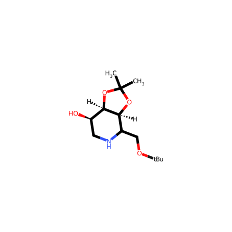 CC(C)(C)OCC1NC[C@@H](O)[C@H]2OC(C)(C)O[C@@H]12